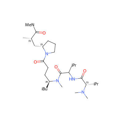 CCC(C)[C@@H](CCC(=O)N1CCC[C@H]1C[C@H](C)C(=O)NC)N(C)C(=O)C(NC(=O)[C@H](C(C)C)N(C)C)C(C)C